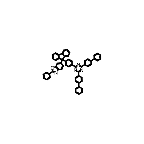 c1ccc(-c2ccc(-c3nc(-c4ccc(-c5ccccc5)cc4)nc(-c4ccc(C5(c6ccc7nc(-c8ccccc8)oc7c6)c6ccccc6-c6ccccc65)cc4)n3)cc2)cc1